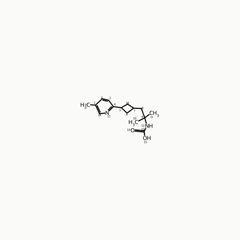 Cc1ccc(C2CC(CC(C)(C)NC(=O)O)C2)nc1